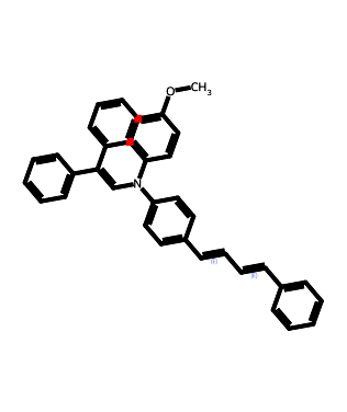 COc1ccc(N(C=C(c2ccccc2)c2ccccc2)c2ccc(/C=C/C=C/c3ccccc3)cc2)cc1